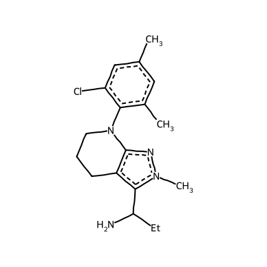 CCC(N)c1c2c(nn1C)N(c1c(C)cc(C)cc1Cl)CCC2